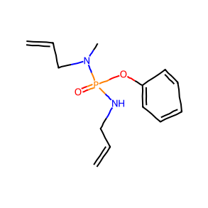 C=CCNP(=O)(Oc1ccccc1)N(C)CC=C